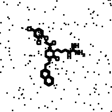 N=C(N)NCCC[C@H]1C(=O)N(CCc2ccc3ccccc3c2)CCN1C(=O)COc1ccc(Cl)cc1Cl